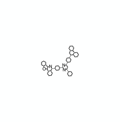 c1ccc(-c2cc(-c3ccc(-c4cc5ccccc5c5ccccc45)cc3)nc(-c3ccc(-c4nc5c6ccccc6oc5c5ccccc45)cc3)n2)cc1